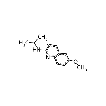 COc1ccc2nc(NC(C)C)[c]cc2c1